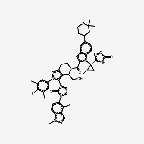 Cc1cc(-n2nc3c(c2-n2ccn(-c4ccc5c(cnn5C)c4F)c2=O)[C@H](CO)N(C(=O)c2cc4cc([C@H]5CCOC(C)(C)C5)ccc4n2[C@@]2(c4noc(=O)[nH]4)C[C@@H]2C)CC3)cc(C)c1F